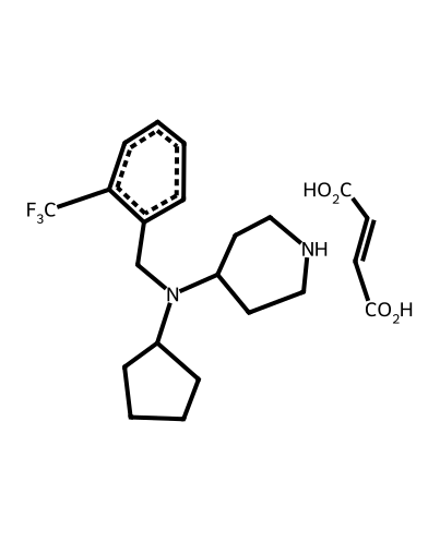 FC(F)(F)c1ccccc1CN(C1CCCC1)C1CCNCC1.O=C(O)C=CC(=O)O